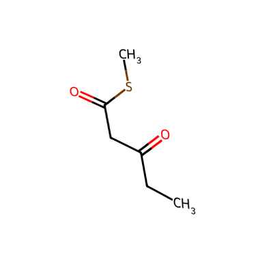 CCC(=O)CC(=O)SC